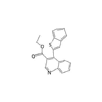 CCOC(=O)c1cnc2ccccc2c1-c1cc2ccccc2s1